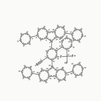 N#Cc1cc(-n2c3cc(-c4ccccc4)ccc3c3ccc(-c4ccccc4)cc32)c(-c2ccccc2C(F)(F)F)cc1-n1c2cc(-c3ccccc3)ccc2c2ccc(-c3ccccc3)cc21